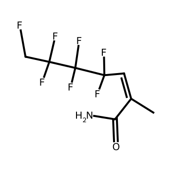 CC(=CC(F)(F)C(F)(F)C(F)(F)CF)C(N)=O